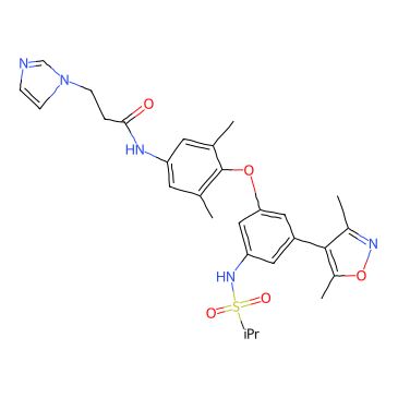 Cc1cc(NC(=O)CCn2ccnc2)cc(C)c1Oc1cc(NS(=O)(=O)C(C)C)cc(-c2c(C)noc2C)c1